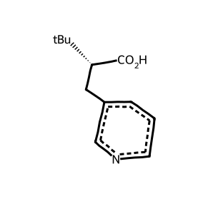 CC(C)(C)[C@@H](Cc1cccnc1)C(=O)O